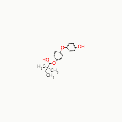 CCC(C)(C)C(O)Oc1ccc(Oc2ccc(O)cc2)cc1